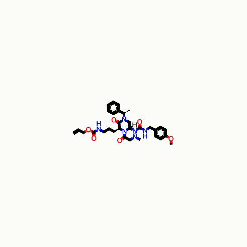 C=CCOC(=O)NCCC[C@H]1C(=O)N([C@@H](C)c2ccccc2)C[C@H]2N1C(=O)CN(C)N2C(=O)NCc1ccc(OC)cc1